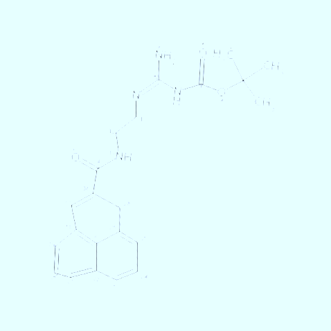 CC(C)(C)OC(=O)NC(N)=NCCNC(=O)C1=Cc2cccc3cccc(c23)C1